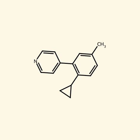 Cc1ccc(C2CC2)c(-c2ccncc2)c1